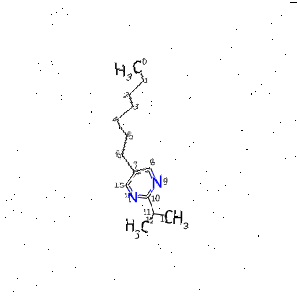 CCCCCCCc1cnc(C(C)C)nc1